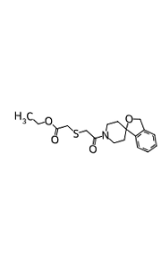 CCOC(=O)CSCC(=O)N1CCC2(CC1)OCc1ccccc12